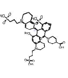 O=C(O)C1CCN(C(=O)c2cccc(S(=O)(=O)O)c2/C(=C2\C=C3CCCN(CCCS(=O)(=O)O)C3=CC2)c2cc3c(cc2O)N(CCCS(=O)(=O)O)CCC3)CC1